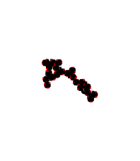 c1ccc(-c2cccc(-n3c4ccccc4c4cc(-c5cc6c7ccccc7n7c8ccc(-c9ccccc9-c9cccc(-n%10c%11ccccc%11c%11cc(-c%12ccc%13c(c%12)c%12ccccc%12n%13-c%12ccc(-c%13cccc(-c%14cccc%15c%14c%14ccccc%14n%15-c%14cccc%15c%14oc%14ccc(-n%16c%17ccccc%17c%17ccccc%17%16)cc%14%15)c%13)cc%12)ccc%11%10)c9)cc8c(c5)c67)ccc43)c2)cc1